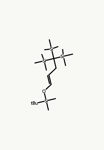 CC(C)(C)[Si](C)(C)OC=CCC([Si](C)(C)C)([Si](C)(C)C)[Si](C)(C)C